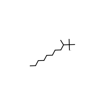 [CH2]C(C)(C)C(C)CCCCCCCC